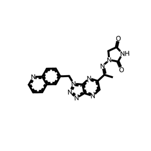 CC(=NN1CC(=O)NC1=O)c1cnc2nnn(Cc3ccc4ncccc4c3)c2n1